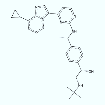 C[C@H](Nc1nccc(-c2cnc3c(C4CC4)cccn23)n1)c1ccc([C@H](O)CNC(C)(C)C)cc1